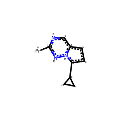 CC(C)c1ncc2ccc(C3CC3)n2n1